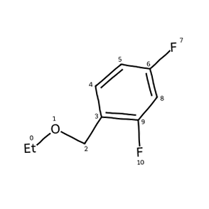 [CH2]COCc1ccc(F)cc1F